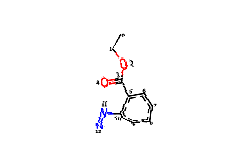 CCOC(=O)c1ccccc1N=[N]